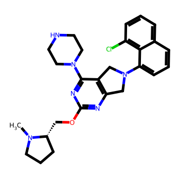 CN1CCC[C@H]1COc1nc2c(c(N3CCNCC3)n1)CN(c1cccc3cccc(Cl)c13)C2